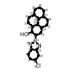 Oc1c(-n2nc3ccc(Cl)cc3n2)cc2ccc3cccc4ccc1c2c34